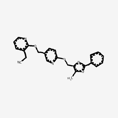 Cc1oc(-c2ccccc2)nc1COc1ccc(COc2ncccc2CC#N)cn1